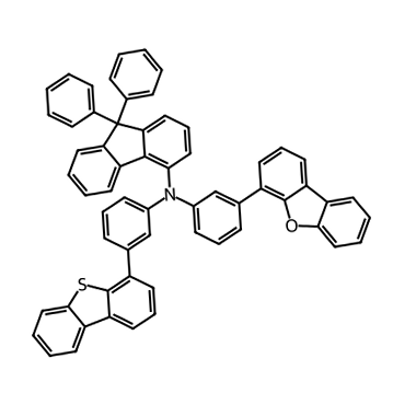 c1ccc(C2(c3ccccc3)c3ccccc3-c3c(N(c4cccc(-c5cccc6c5oc5ccccc56)c4)c4cccc(-c5cccc6c5sc5ccccc56)c4)cccc32)cc1